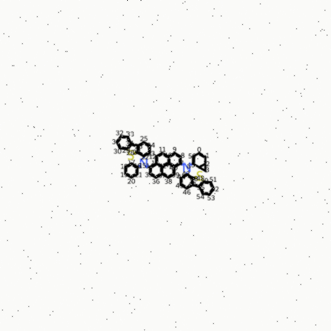 C1=CC2CC2C(N(c2ccc3ccc4c(N(c5ccccc5)c5cccc6c5sc5ccccc56)ccc5ccc2c3c54)c2cccc3c2sc2ccccc23)=C1